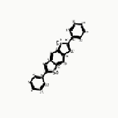 c1ccc(-c2cc3cc4[se]c(-c5ccccc5)cc4cc3[se]2)cc1